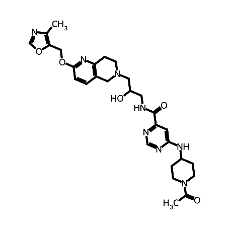 CC(=O)N1CCC(Nc2cc(C(=O)NCC(O)CN3CCc4nc(OCc5ocnc5C)ccc4C3)ncn2)CC1